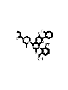 C=CC(=O)N1CCN(c2nc(=O)n(-c3c(CO)cccc3C(C)C)c3nc(-c4ccccc4F)c(Cl)cc23)C(C)C1